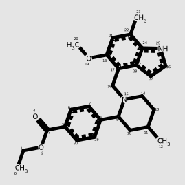 CCOC(=O)c1ccc(C2CC(C)CCN2Cc2c(OC)cc(C)c3[nH]ccc23)cc1